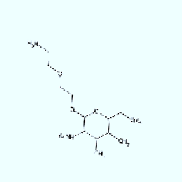 CC(=O)NC1C(OCCOCCN)OC(COC(C)=O)C(C)C1C